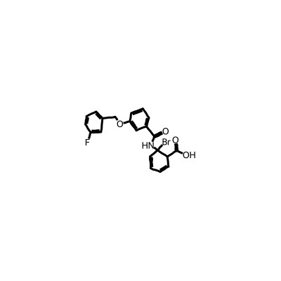 O=C(NC1(Br)C=CC=CC1C(=O)O)c1cccc(OCc2cccc(F)c2)c1